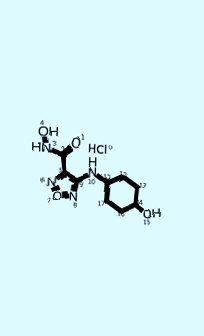 Cl.O=C(NO)c1nonc1NC1CCC(O)CC1